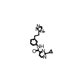 Cn1cnnc1CCc1cccc(NC(=O)c2ccnc(C3CC3)n2)c1